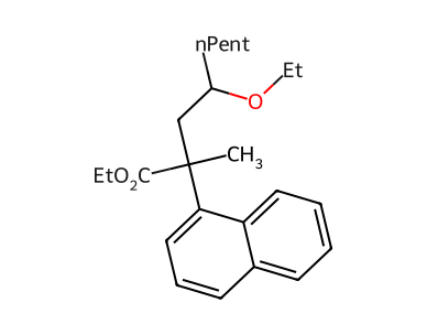 CCCCCC(CC(C)(C(=O)OCC)c1cccc2ccccc12)OCC